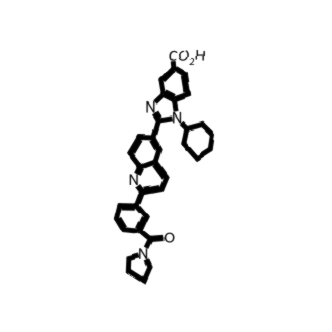 O=C(O)c1ccc2c(c1)nc(-c1ccc3nc(-c4cccc(C(=O)N5CCCC5)c4)ccc3c1)n2C1CCCCC1